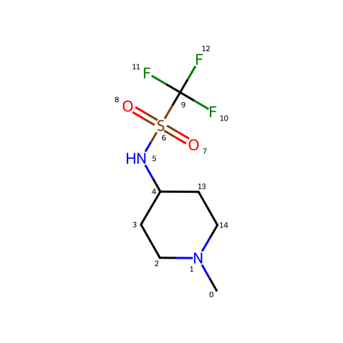 CN1CCC(NS(=O)(=O)C(F)(F)F)CC1